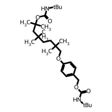 CC(C)(CCC(C)(C)CC(C)(C)OC(=O)NC(C)(C)C)COc1ccc(COC(=O)NC(C)(C)C)cc1